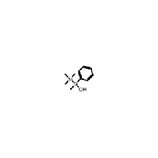 C[Si](C)(C)[Si](C)(O)c1ccccc1